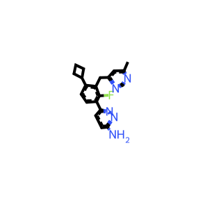 Cc1cc(Cc2c(C3CCC3)ccc(-c3ccc(N)nn3)c2F)ncn1